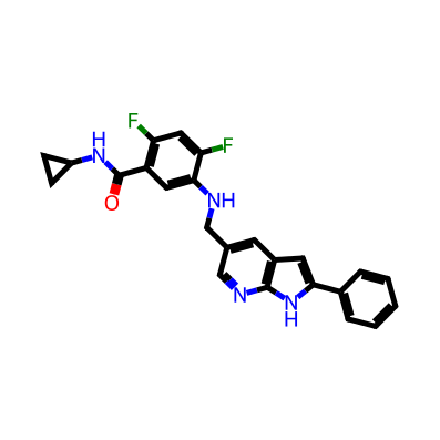 O=C(NC1CC1)c1cc(NCc2cnc3[nH]c(-c4ccccc4)cc3c2)c(F)cc1F